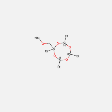 CCCCOC[Si]1(CC)O[SiH](CC)O[SiH](CC)O[SiH](CC)O1